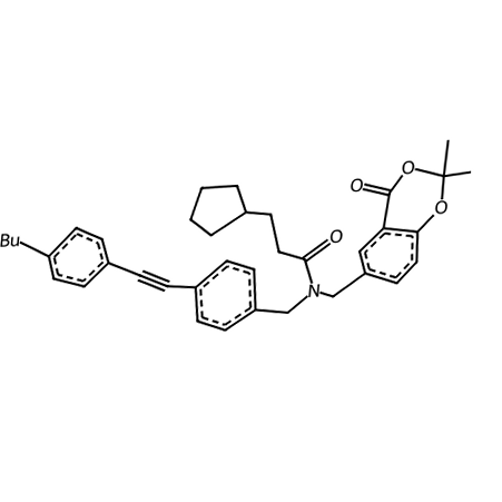 CCCCc1ccc(C#Cc2ccc(CN(Cc3ccc4c(c3)C(=O)OC(C)(C)O4)C(=O)CCC3CCCC3)cc2)cc1